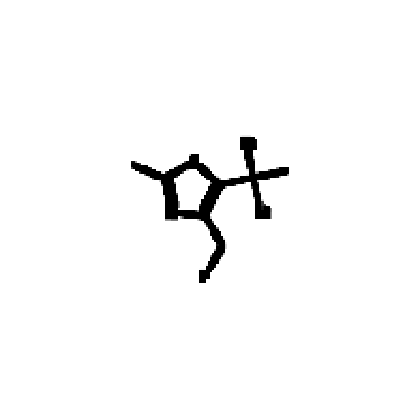 CCC(C)(CC)c1sc(C)nc1CF